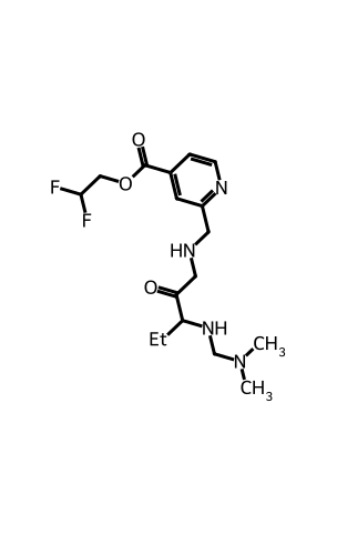 CCC(NCN(C)C)C(=O)CNCc1cc(C(=O)OCC(F)F)ccn1